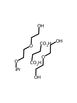 CC(C)OCCOCCO.O=C(O)CCC(=O)O.OCCOCCO